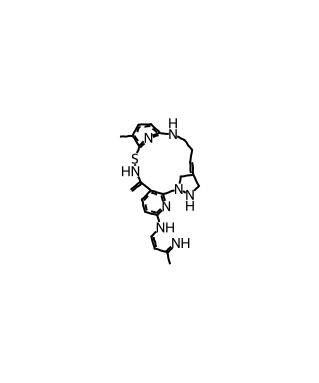 C=C1NSc2nc(ccc2C)NCC/C=C2\CNN(C2)c2nc(N/C=C\C(C)=N)ccc21